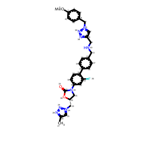 COc1ccc(Cn2cc(CNCc3ccc(-c4ccc(N5C[C@H](Cn6cc(C)nn6)OC5=O)cc4F)cc3)nn2)cc1